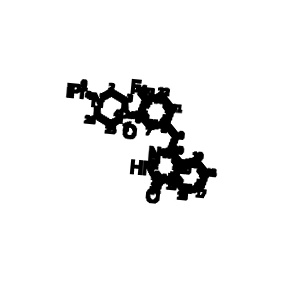 CC(C)N1CCP(=O)(c2cc(Cc3n[nH]c(=O)c4ccccc34)ccc2F)CC1